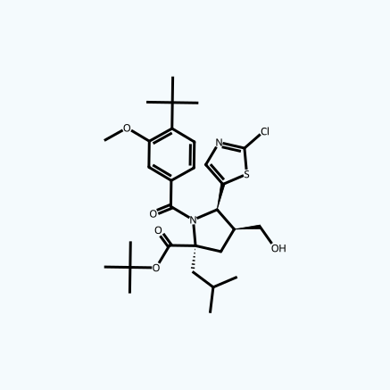 COc1cc(C(=O)N2[C@@H](c3cnc(Cl)s3)[C@@H](CO)C[C@@]2(CC(C)C)C(=O)OC(C)(C)C)ccc1C(C)(C)C